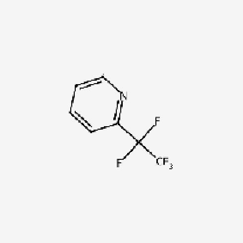 FC(F)(F)C(F)(F)c1ccc[c]n1